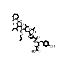 C=CCOCN(C(=O)[C@@H](NC(=O)[C@H]1CCCCN1C)C(C)CC)C(C[C@@H](OC(C)=O)c1nc(C(=O)N[C@@H](Cc2ccc(O)cc2)C[C@H](C)C(=O)O)cs1)C(C)C